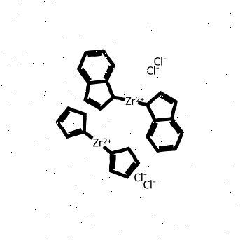 C1=CC[C]([Zr+2][C]2=CC=CC2)=C1.C1=C[CH]([Zr+2][CH]2C=Cc3ccccc32)c2ccccc21.[Cl-].[Cl-].[Cl-].[Cl-]